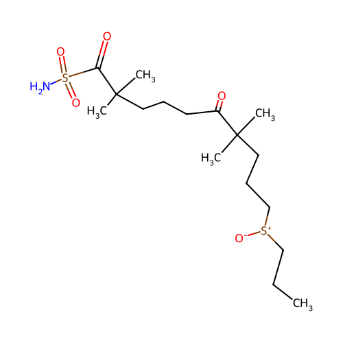 CCC[S+]([O-])CCCC(C)(C)C(=O)CCCC(C)(C)C(=O)S(N)(=O)=O